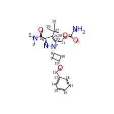 CN(C)C(=O)c1nn([C@H]2C[C@@H](OCc3ccccc3)C2)c(COC(N)=O)c1C(C)(C)C